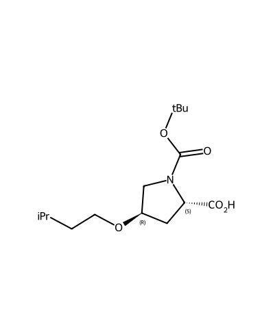 CC(C)CCO[C@@H]1C[C@@H](C(=O)O)N(C(=O)OC(C)(C)C)C1